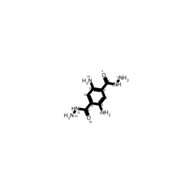 NNC(=O)c1cc(N)c(C(=O)NN)cc1N